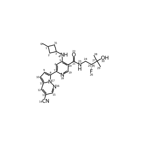 [CH2]C1CC(Nc2cc(-c3ccc4cc(C#N)cnn34)ncc2C(=O)NC[C@@H](F)C(C)(C)O)C1